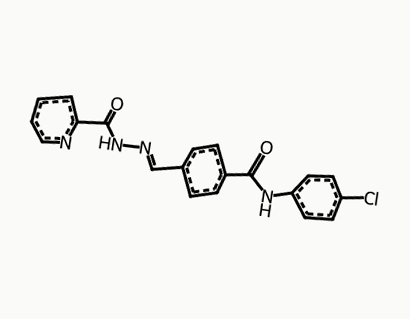 O=C(Nc1ccc(Cl)cc1)c1ccc(C=NNC(=O)c2ccccn2)cc1